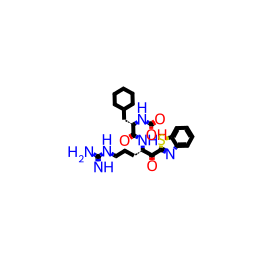 N=C(N)NCCC[C@H](NC(=O)[C@H](CC1CCCCC1)NC(=O)O)C(=O)c1nc2ccccc2s1